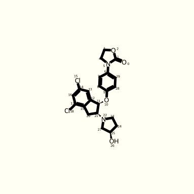 O=C1OCCN1c1ccc(O[C@H]2c3cc(Cl)cc(Cl)c3C[C@H]2N2CC[C@@H](O)C2)cc1